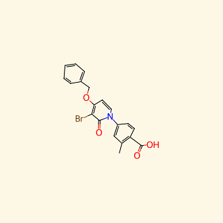 Cc1cc(-n2ccc(OCc3ccccc3)c(Br)c2=O)ccc1C(=O)O